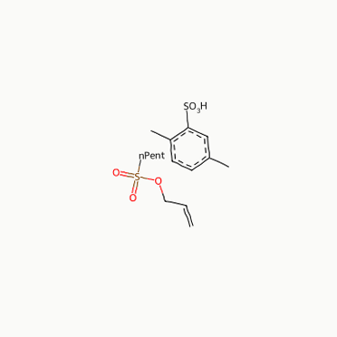 C=CCOS(=O)(=O)CCCCC.Cc1ccc(C)c(S(=O)(=O)O)c1